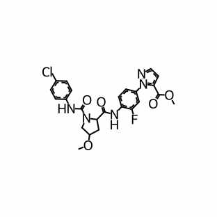 COC(=O)c1ccnn1-c1ccc(NC(=O)C2CC(OC)CN2C(=O)Nc2ccc(Cl)cc2)c(F)c1